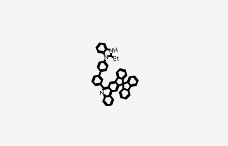 CCC1Nc2ccccc2N1c1ccc(-c2cccc(-c3nc4ccccc4c4cc5c(cc34)-c3ccccc3C53c4ccccc4C4C=CC=CC43)c2)cc1